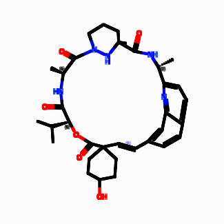 CC(C)[C@@H]1OC(=O)C2(/C=C/c3ccc4ccc(nc4c3)[C@@H](C)NC(=O)C3(C)CCCN(N3)C(=O)[C@H](C)NC1=O)CCC(O)CC2